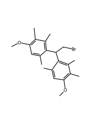 COc1cc(C)c(C(CBr)c2c(C)cc(OC)c(C)c2C)c(C)c1C